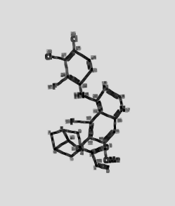 C=CC(=O)N1CC2CC(C1)C2Oc1c(OC)cc2ncnc(Nc3ccc(Cl)c(Cl)c3F)c2c1F